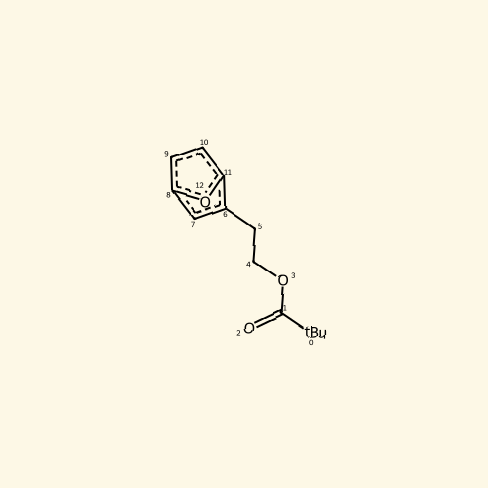 CC(C)(C)C(=O)OCCc1cc2ccc1o2